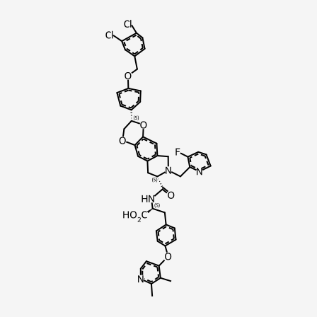 Cc1nccc(Oc2ccc(C[C@H](NC(=O)[C@@H]3Cc4cc5c(cc4CN3Cc3ncccc3F)O[C@@H](c3ccc(OCc4ccc(Cl)c(Cl)c4)cc3)CO5)C(=O)O)cc2)c1C